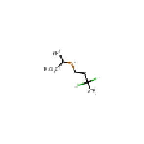 CCCC(SCCC(F)(F)C(F)(F)F)C(=O)OCC